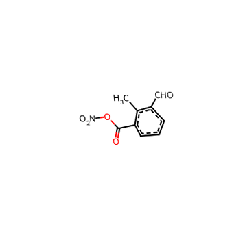 Cc1c(C=O)cccc1C(=O)O[N+](=O)[O-]